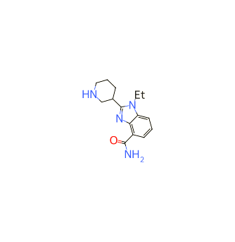 CCn1c(C2CCCNC2)nc2c(C(N)=O)cccc21